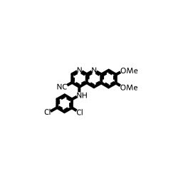 COc1cc2cc3c(Nc4ccc(Cl)cc4Cl)c(C#N)cnc3nc2cc1OC